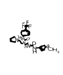 COc1ccc(NC(=O)NCCN(CCN2CCCC2)C(=O)Nc2ccc(C(F)(F)F)cc2)cc1